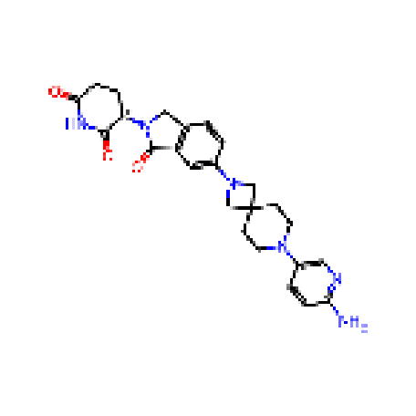 Nc1ccc(N2CCC3(CC2)CN(c2ccc4c(c2)C(=O)N([C@@H]2CCC(=O)NC2=O)C4)C3)cn1